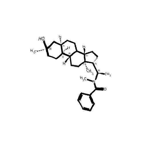 C[C@H]([C@H]1CC[C@H]2C3CC[C@@H]4C[C@](C)(O)CC[C@@H]4[C@H]3CC[C@]12C)N(C)C(=O)c1ccccc1